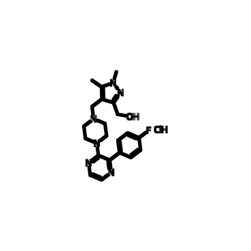 Cc1c(CN2CCN(c3nccnc3-c3ccc(F)cc3)CC2)c(CO)nn1C.Cl